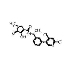 C[C@@H](NC(=O)C1=C(O)C(=O)N(C)C1)c1cccc(-c2cnc(Cl)cc2Cl)c1